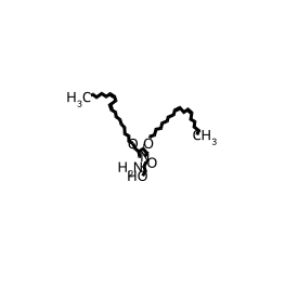 CCCCC/C=C\C/C=C\CCCCCCCCOCC1CN(C(=O)[C@@H](N)CO)C[C@H]1COCCCCCCCC/C=C\C/C=C\CCCCC